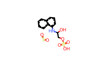 O=S(=O)(O)OCC(O)Nc1cccc2ccccc12.O=S=O